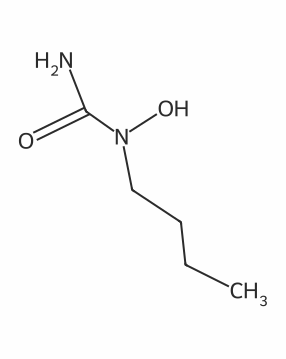 CCCCN(O)C(N)=O